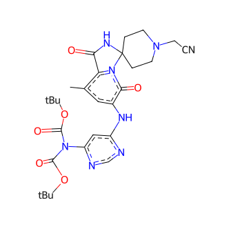 Cc1cc(Nc2cc(N(C(=O)OC(C)(C)C)C(=O)OC(C)(C)C)ncn2)c(=O)n2c1C(=O)NC21CCN(CC#N)CC1